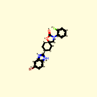 O=C1O[C@]2(CC[C@H](c3nc4cc(Br)ccc4[nH]3)CC2)CN1c1ccccc1F